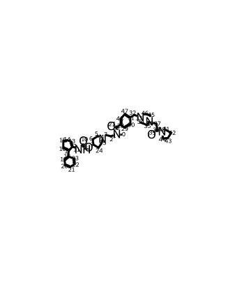 CN(CCN1CCC(OC(=O)Nc2ccccc2-c2ccccc2)CC1)C(=O)c1ccc(CN2CCN(CC(=O)N3CCCC3)CC2)cc1